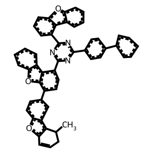 CC1CC=Cc2oc3ccc(-c4ccc(-c5nc(-c6ccc(-c7ccccc7)cc6)nc(-c6cccc7oc8ccccc8c67)n5)c5c4oc4ccccc45)cc3c21